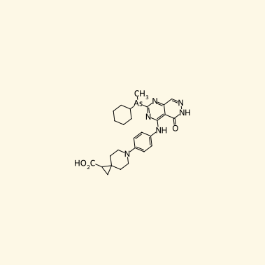 C[As](c1nc(Nc2ccc(N3CCC4(CC3)CC4C(=O)O)cc2)c2c(=O)[nH]ncc2n1)C1CCCCC1